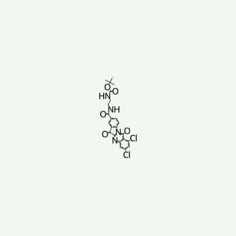 CC(C)(C)OC(=O)NCCNC(=O)c1ccc2c(c1)C(=O)c1nc3cc(Cl)cc(Cl)c3c(=O)n1-2